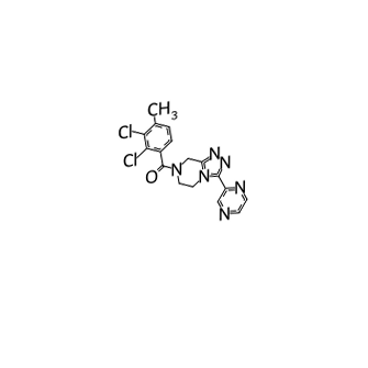 Cc1ccc(C(=O)N2CCn3c(nnc3-c3cnccn3)C2)c(Cl)c1Cl